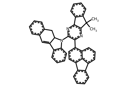 CC1(C)c2ccccc2-c2nc(N3c4ccccc4C4=Cc5ccccc5CC43)c(-c3ccc4c5c(cccc35)-c3ccccc3-4)nc21